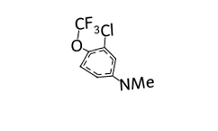 CNc1ccc(OC(F)(F)F)c(Cl)c1